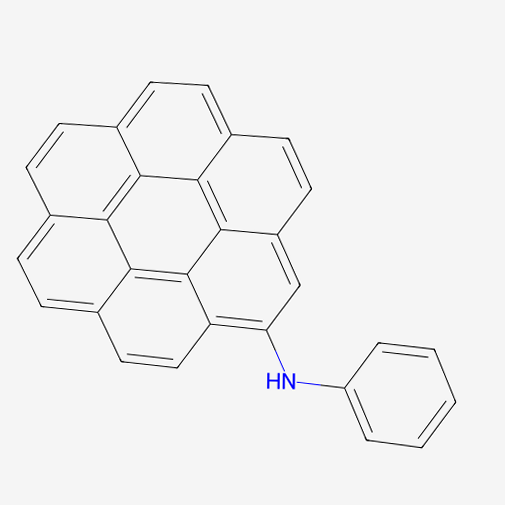 c1ccc(Nc2cc3ccc4ccc5ccc6ccc7ccc2c2c7c6c5c4c32)cc1